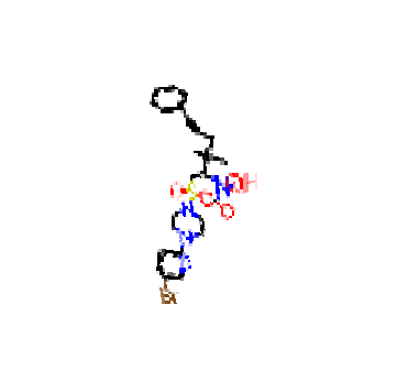 CC(C)(CC#Cc1ccccc1)C(CS(=O)(=O)N1CCN(c2ccc(Br)cn2)CC1)N(O)C=O